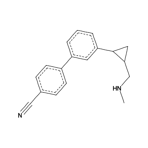 CNCC1CC1c1cccc(-c2ccc(C#N)cc2)c1